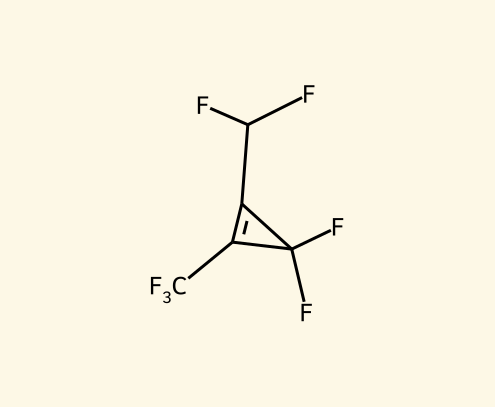 FC(F)C1=C(C(F)(F)F)C1(F)F